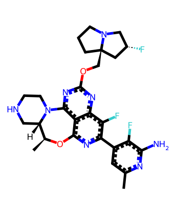 Cc1cc(-c2nc3c4c(nc(OC[C@@]56CCCN5C[C@H](F)C6)nc4c2F)N2CCNC[C@H]2[C@H](C)O3)c(F)c(N)n1